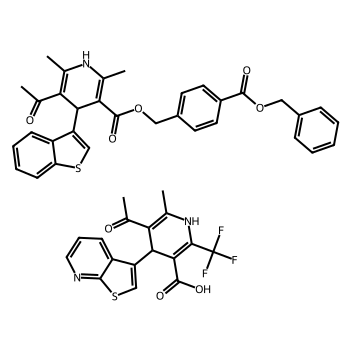 CC(=O)C1=C(C)NC(C(F)(F)F)=C(C(=O)O)C1c1csc2ncccc12.CC(=O)C1=C(C)NC(C)=C(C(=O)OCc2ccc(C(=O)OCc3ccccc3)cc2)C1c1csc2ccccc12